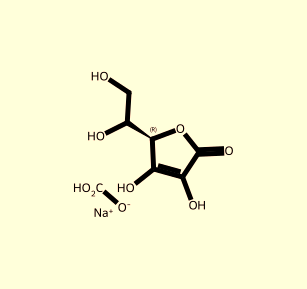 O=C([O-])O.O=C1O[C@H](C(O)CO)C(O)=C1O.[Na+]